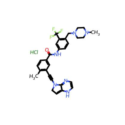 Cc1ccc(C(=O)Nc2ccc(CN3CCN(C)CC3)c(C(F)(F)F)c2)cc1C#CN1CC=C2NC=CN=C21.Cl